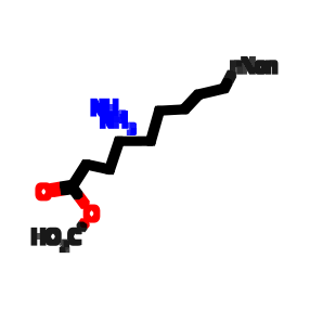 CCCCCCCCCCCCCCCCCC(=O)OC(=O)O.N.N